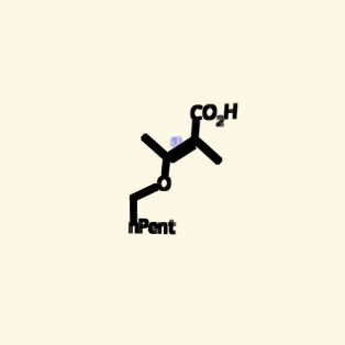 CCCCCCO/C(C)=C(\C)C(=O)O